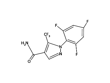 NC(=O)c1cnn(-c2c(F)cc(F)cc2F)c1C(F)(F)F